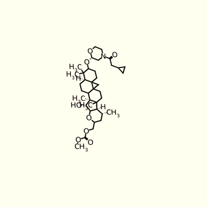 COC(=O)OCC1C[C@@H](C)[C@H]2C(O1)[C@H](O)[C@@]1(C)C3CC[C@H]4C(C)(C)C(O[C@H]5CN(C(=O)CC6CC6)CCO5)CCC45CC35CCC21C